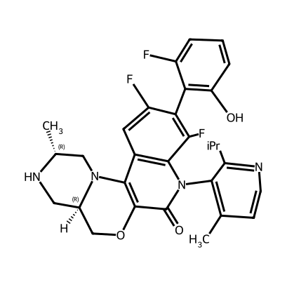 Cc1ccnc(C(C)C)c1-n1c(=O)c2c(c3cc(F)c(-c4c(O)cccc4F)c(F)c31)N1C[C@@H](C)NC[C@@H]1CO2